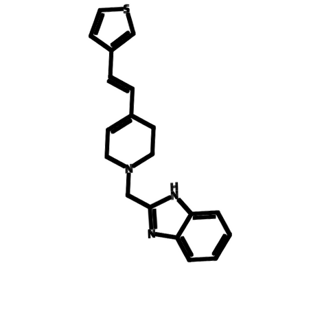 C1=C(/C=C/c2ccsc2)CCN(Cc2nc3ccccc3[nH]2)C1